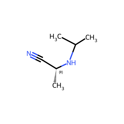 CC(C)N[C@H](C)C#N